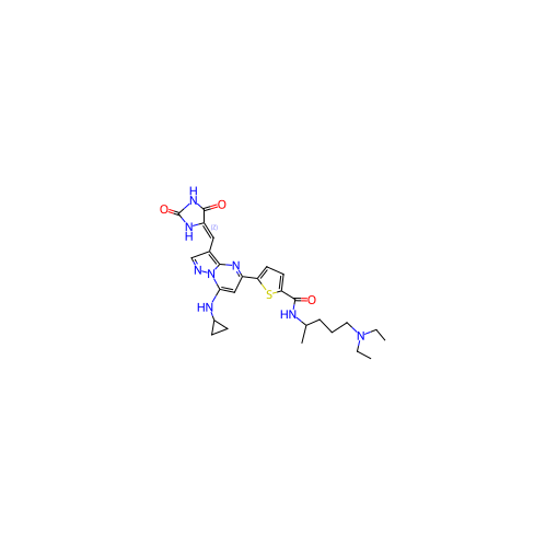 CCN(CC)CCCC(C)NC(=O)c1ccc(-c2cc(NC3CC3)n3ncc(/C=C4\NC(=O)NC4=O)c3n2)s1